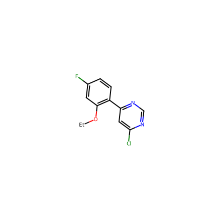 CCOc1cc(F)ccc1-c1cc(Cl)ncn1